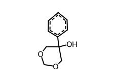 OC1(c2ccccc2)COCOC1